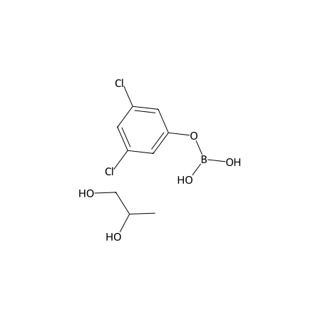 CC(O)CO.OB(O)Oc1cc(Cl)cc(Cl)c1